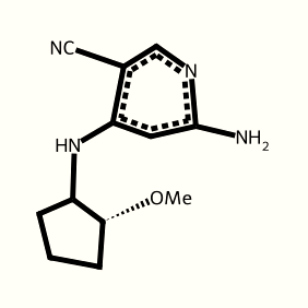 CO[C@@H]1CCCC1Nc1cc(N)ncc1C#N